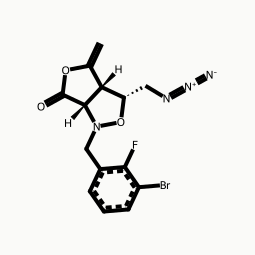 C=C1OC(=O)[C@@H]2[C@H]1[C@H](CN=[N+]=[N-])ON2Cc1cccc(Br)c1F